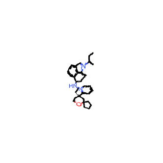 CCC(C)N1Cc2cccc3c2C1CCC3NCC[C@@]1(c2ccccn2)CCOC2(CCCC2)C1